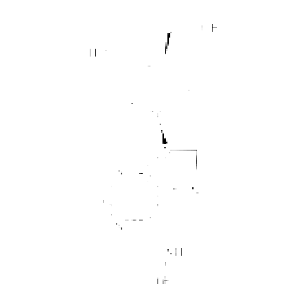 CCCNc1ncnc2c1ncn2[C@H]1CC(O)[C@@H](CO)O1